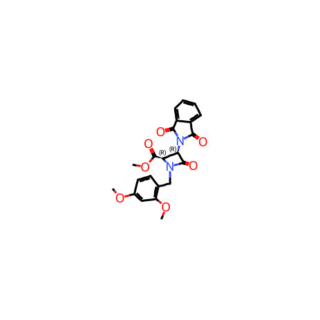 COC(=O)[C@H]1[C@@H](N2C(=O)c3ccccc3C2=O)C(=O)N1Cc1ccc(OC)cc1OC